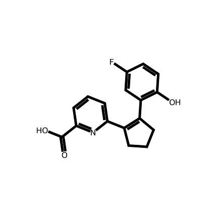 O=C(O)c1cccc(C2=C(c3cc(F)ccc3O)CCC2)n1